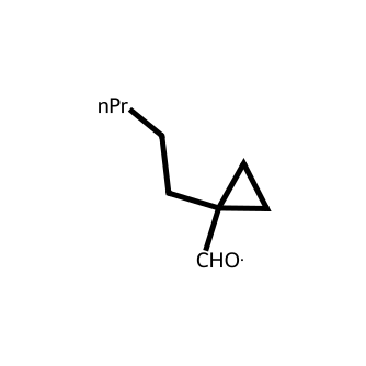 CCCCCC1([C]=O)CC1